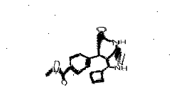 COC(=O)c1ccc(C2CC(=O)Nc3n[nH]c(C4CCC4)c32)cc1